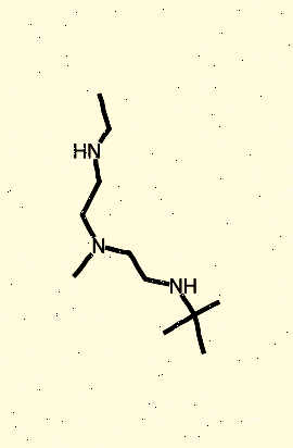 CCNCCN(C)CCNC(C)(C)C